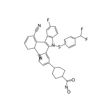 N#CC1=C(c2c(-c3cccc(C4CCC(C(=O)N=O)CC4)c3)n(Sc3ccc(C(F)F)cc3)c3ccc(F)cc23)C(C#N)CC=C1